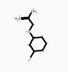 C=C(C)COC1CCCC(I)C1